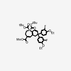 CCOc1ccc(C2(c3ccc(OCC)c(F)c3)C=CC3=C(C=C(C(=O)OC)CC[N+]3(C(=O)OC(C)(C)C)C(=O)OC(C)(C)C)C2)cc1F